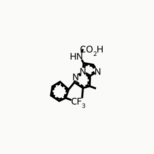 Cc1c(-c2ccccc2C(F)(F)F)nn2c(NC(=O)O)cnc2c1C